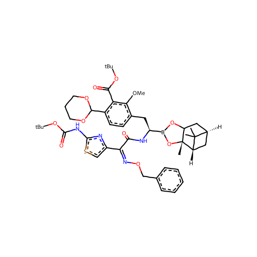 COc1c(C[C@H](NC(=O)/C(=N\OCc2ccccc2)c2csc(NC(=O)OC(C)(C)C)n2)B2OC3C[C@H]4C[C@@H](C4(C)C)[C@]3(C)O2)ccc(C2OCCCO2)c1C(=O)OC(C)(C)C